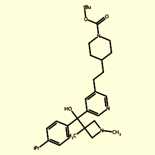 CC(C)c1ccc(C(O)(c2cncc(CCC3CCN(C(=O)OC(C)(C)C)CC3)c2)C2(C)CN(C)C2)cc1